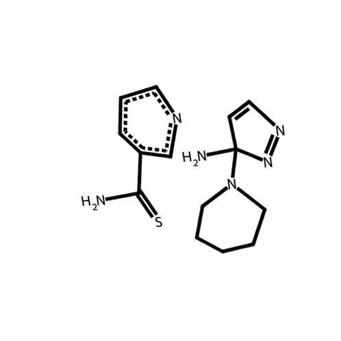 NC(=S)c1cccnc1.NC1(N2CCCCC2)C=CN=N1